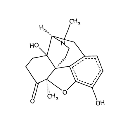 CN1CC[C@]23c4c5ccc(O)c4O[C@@]2(C)C(=O)CCC3(O)[C@H]1C5